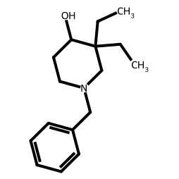 CCC1(CC)CN(Cc2ccccc2)CCC1O